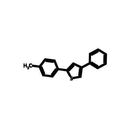 Cc1ccc(-c2cc(-c3ccccc3)cs2)cc1